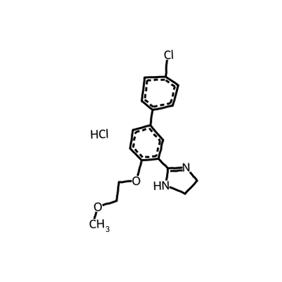 COCCOc1ccc(-c2ccc(Cl)cc2)cc1C1=NCCN1.Cl